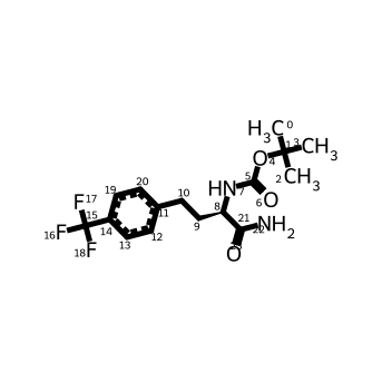 CC(C)(C)OC(=O)N[C@H](CCc1ccc(C(F)(F)F)cc1)C(N)=O